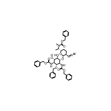 CC([C@@H]1CC[C@@H](N=[N+]=[N-])[C@@H](O[C@H]2[C@H](O)[C@@H](O)[C@H](NC(=O)OCc3ccccc3)[C@@H](OCc3ccccc3)[C@@H]2NC(=O)OCc2ccccc2)O1)N(C)C(=O)OCc1ccccc1